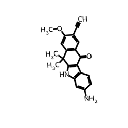 C#Cc1cc2c(cc1OC)C(C)(C)c1[nH]c3cc(N)ccc3c1C2=O